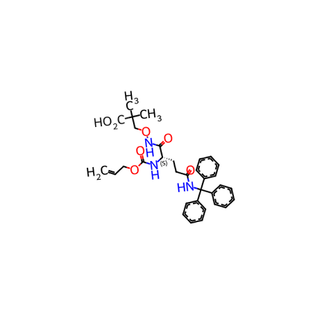 C=CCOC(=O)N[C@@H](CCC(=O)NC(c1ccccc1)(c1ccccc1)c1ccccc1)C(=O)NOCC(C)(C)C(=O)O